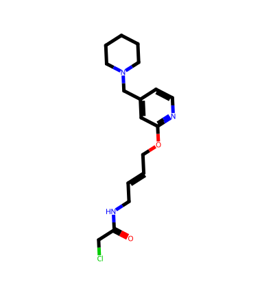 O=C(CCl)NCC=CCOc1cc(CN2CCCCC2)ccn1